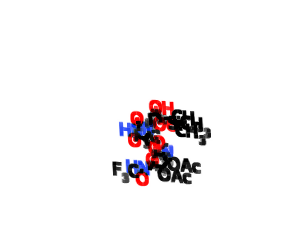 CC(=O)O[C@@H]1[C@@H](/N=C\OC(F)(F)F)[C@H](OCc2cn([C@H]3C[C@@H](O)[C@@H](CO[Si](C)(C)C)O3)c(=O)[nH]c2=O)O[C@H](CNC(=O)C(F)(F)F)[C@H]1OC(C)=O